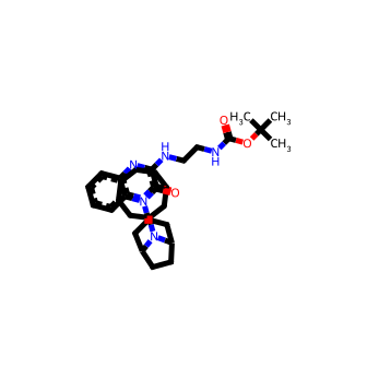 CC(C)(C)OC(=O)NCCNc1nc2ccccc2n(C2CC3CCC(C2)N3C2CCCCCCC2)c1=O